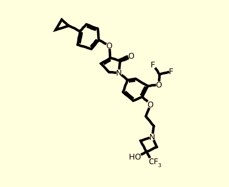 O=C1C(Oc2ccc(C3CC3)cc2)=CCN1c1ccc(OCCN2CC(O)(C(F)(F)F)C2)c(OC(F)F)c1